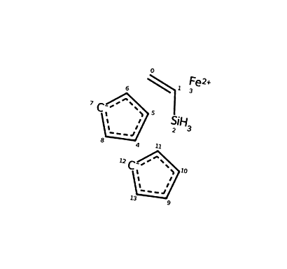 C=C[SiH3].[Fe+2].c1cc[cH-]c1.c1cc[cH-]c1